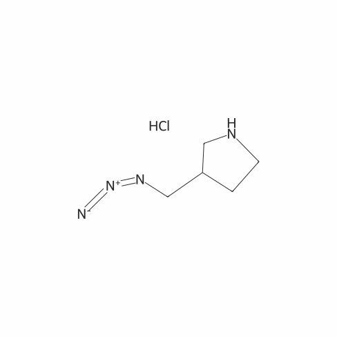 Cl.[N-]=[N+]=NCC1CCNC1